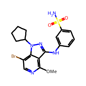 COc1ncc(Br)c2c1c(Nc1cccc(S(N)(=O)=O)c1)nn2C1CCCC1